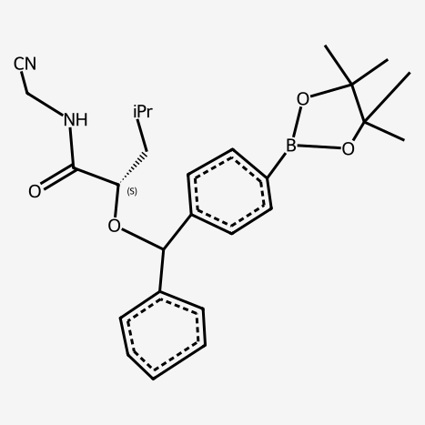 CC(C)C[C@H](OC(c1ccccc1)c1ccc(B2OC(C)(C)C(C)(C)O2)cc1)C(=O)NCC#N